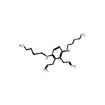 C=CCc1c(NCCCCC)ccc(NCCCCC)c1CC=C